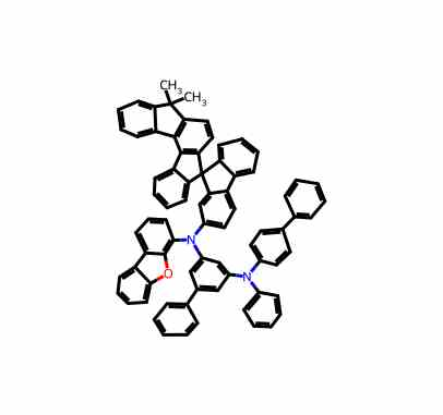 CC1(C)c2ccccc2-c2c1ccc1c2-c2ccccc2C12c1ccccc1-c1ccc(N(c3cc(-c4ccccc4)cc(N(c4ccccc4)c4ccc(-c5ccccc5)cc4)c3)c3cccc4c3oc3ccccc34)cc12